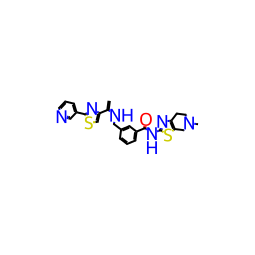 C=C(NCc1cccc(C(=O)Nc2nc3c(s2)CN(C)CC3)c1)c1csc(-c2cccnc2)n1